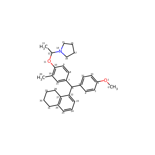 COc1ccc(C(c2ccc(OC(C)N3CCCC3)c(C)c2)c2cccc3c2CCCC3)cc1